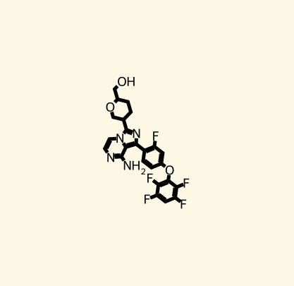 Nc1nccn2c(C3CCC(CO)OC3)nc(-c3ccc(Oc4c(F)c(F)cc(F)c4F)cc3F)c12